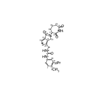 Cc1ccc(NC(=O)NCc2scc3c2CN([C@H]2CCCC(=O)NC2=O)C3=O)cc1C(C)C